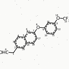 O=CCc1ccc2nc(Oc3cccc(OC(F)(F)F)c3)ccc2c1